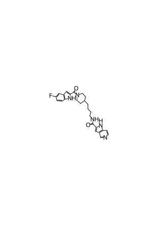 O=C(NCCCCC1CCN(C(=O)c2cc3cc(F)ccc3[nH]2)CC1)c1cc2cnccc2[nH]1